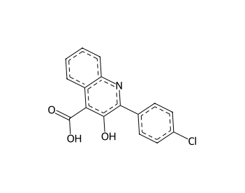 O=C(O)c1c(O)c(-c2ccc(Cl)cc2)nc2ccccc12